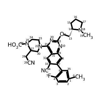 Cc1ccc(F)c(-c2cc3nc(OC[C@@H]4CCCN4C)nc(N4CCN(C(=O)O)C(CC#N)C4)c3cc2C#N)c1